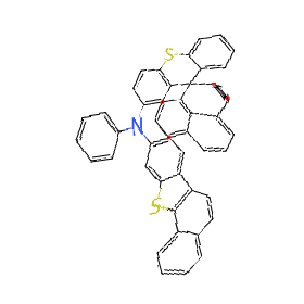 c1ccc(N(c2ccc3c(c2)C2(c4ccccc4S3)c3ccccc3-c3cccc4cccc2c34)c2ccc3c(c2)sc2c4ccccc4ccc32)cc1